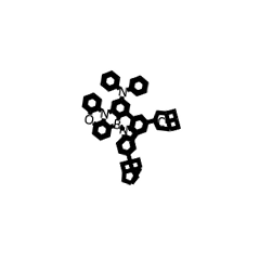 c1ccc(N(c2ccccc2)c2cc3c4c(c2)N2c5ccccc5Oc5cccc(c52)B4n2c4ccc(C56CC7CC8CC75C8C6)cc4c4cc(C56CC7CC8CC(C5)C87C6)cc-3c42)cc1